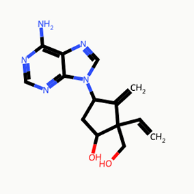 C=CC1(CO)C(=C)C(n2cnc3c(N)ncnc32)CC1O